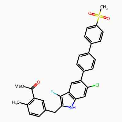 COC(=O)c1cc(Cc2[nH]c3cc(Cl)c(-c4ccc(-c5ccc(S(C)(=O)=O)cc5)cc4)cc3c2F)ccc1C